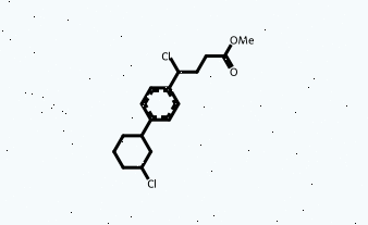 COC(=O)CCC(Cl)c1ccc(C2CCCC(Cl)C2)cc1